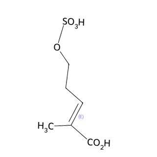 C/C(=C\CCOS(=O)(=O)O)C(=O)O